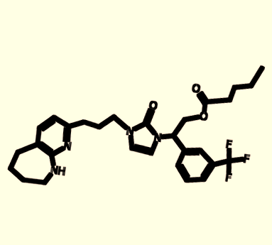 CCCCC(=O)OCC(c1cccc(C(F)(F)F)c1)n1ccn(CCCc2ccc3c(n2)NCCCC3)c1=O